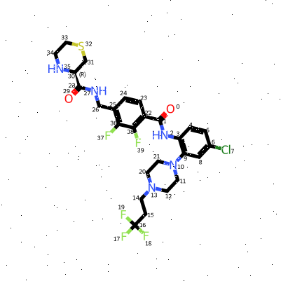 O=C(Nc1ccc(Cl)cc1N1CCN(CCC(F)(F)F)CC1)c1ccc(CNC(=O)[C@@H]2CSCCN2)c(F)c1F